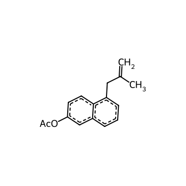 C=C(C)Cc1cccc2cc(OC(C)=O)ccc12